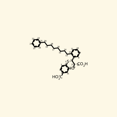 O=C(O)c1ccc(S[C@H](c2ccccc2CCCCCCCCc2ccccc2)[C@@H](O)C(=O)O)cc1